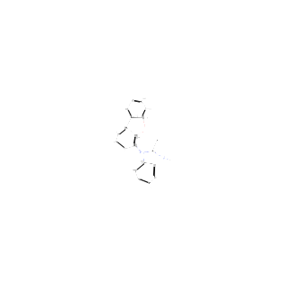 CC1N(C)c2ccccc2N1c1cccc2c1oc1ccccc12